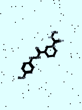 COc1ccc(NNC(=O)C2CCCN(C(=O)OC(C)(C)C)C2)cc1